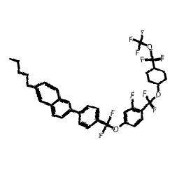 CCCCCc1ccc2cc(-c3ccc(C(F)(F)Oc4ccc(C(F)(F)OC5CCC(C(F)(F)OC(F)(F)F)CC5)c(F)c4)cc3)ccc2c1